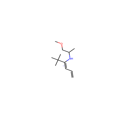 C=C/C=C(\NC(C)COC)C(C)(C)C